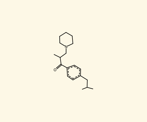 CC(C)Cc1ccc(C(=O)C(C)CN2CCCCC2)cc1